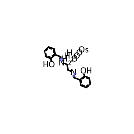 O.O.O.Oc1ccccc1/C=N/CC/N=C/c1ccccc1O.[Os]